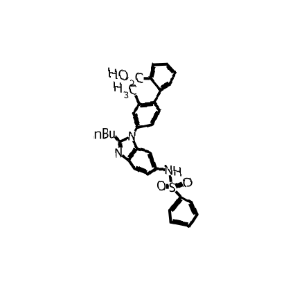 CCCCc1nc2ccc(NS(=O)(=O)c3ccccc3)cc2n1-c1ccc(-c2ccccc2C(=O)O)c(C)c1